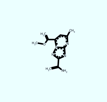 C=C(N)c1nc2nc(C)cc(C(=C)OC)n2n1